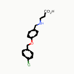 O=C(O)CCNCc1ccc(OCc2ccc(Cl)cc2)cc1